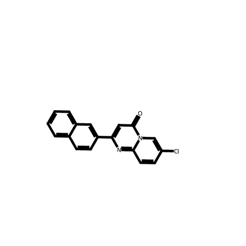 O=c1cc(-c2ccc3ccccc3c2)nc2ccc(Cl)cn12